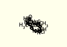 CNC(=O)COc1cc2cc(Nc3nc(N4CCN(CC5CCN(c6ccc7c(C8CCC(=O)NC8=O)nn(C)c7c6)CC5)CC4)ncc3Cl)cnc2n(C(C)C)c1=O